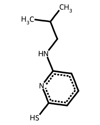 CC(C)CNc1cccc(S)n1